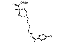 COC(=O)C1(C)OCC(CCCCON=C(C)c2ccc(Cl)cc2)CO1